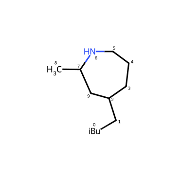 CCC(C)CC1CCCNC(C)C1